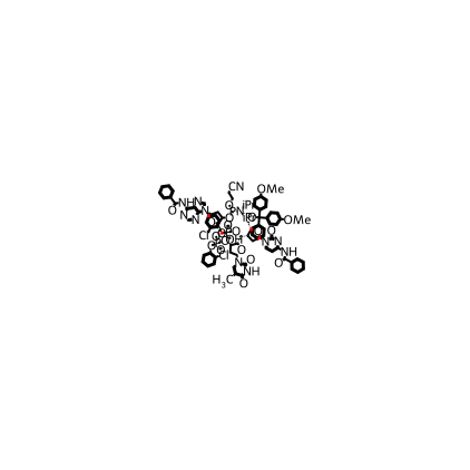 COc1ccc(C(OC[C@@H]2O[C@@H](n3ccc(NC(=O)c4ccccc4)nc3=O)C[C@@H]2C(OP(=O)(O)Oc2ccccc2Cl)[C@@H]2O[C@@H](n3cc(C)c(=O)[nH]c3=O)C[C@@H]2OP(=O)(OC[C@H]2OC(n3cnc4c(NC(=O)c5ccccc5)ncnc43)CC2OP(OCCC#N)N(C(C)C)C(C)C)Oc2ccccc2Cl)(c2ccccc2)c2ccc(OC)cc2)cc1